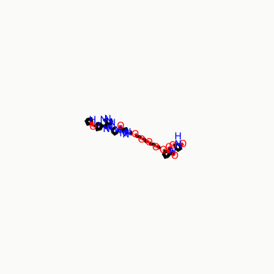 Nc1ncnc2c1c(-c1ccc(Oc3ccccc3)cc1)nn2C1CCCN(C(=O)c2cn(CCOCCOCCOCCOCCOc3cccc4c3C(=O)N(C3CCC(=O)NC3=O)C4=O)nn2)C1